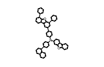 c1ccc(-c2cccc3c2oc2c(-c4ccccc4)cc(-c4ccc(N(c5ccc(-c6cccc7ccccc67)cc5)c5ccc6c(c5)oc5ccccc56)cc4)cc23)cc1